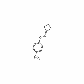 O=[N+]([O-])c1ccc(ON=C2CCC2)cc1